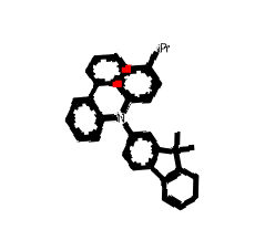 CC(C)c1ccc(N(c2ccc3c(c2)C(C)(C)C2=C3C=CCC2)c2ccccc2-c2ccccc2)cc1